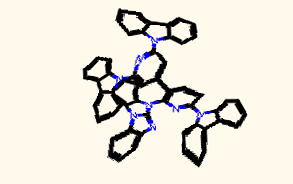 c1ccc2c(c1)nc1n(-c3nc(-n4c5ccccc5c5ccccc54)ccc3-c3cc(-n4c5ccccc5c5ccccc54)nc(-n4c5ccccc5c5ccccc54)c3)c3ccccc3n21